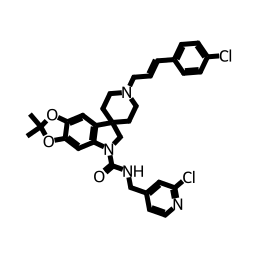 CC1(C)Oc2cc3c(cc2O1)C1(CCN(CC=Cc2ccc(Cl)cc2)CC1)CN3C(=O)NCc1ccnc(Cl)c1